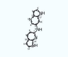 c1cc2ncc(Nc3ccc4cc[nH]c4n3)cc2[nH]1